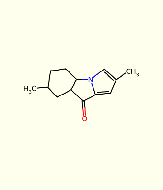 Cc1cc2n(c1)C1CCC(C)CC1C2=O